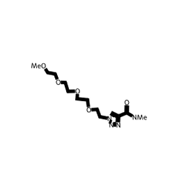 CNC(=O)c1cn(CCOCCOCCOCCOC)nn1